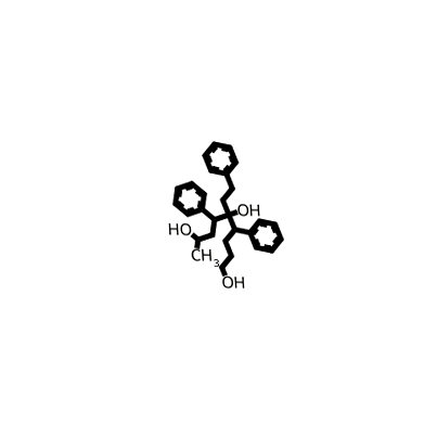 CC(O)CC(c1ccccc1)C(O)(CCc1ccccc1)C(CCCO)c1ccccc1